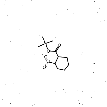 C[Si](C)(C)OC(=O)C1CCCCC1[N+](=O)[O-]